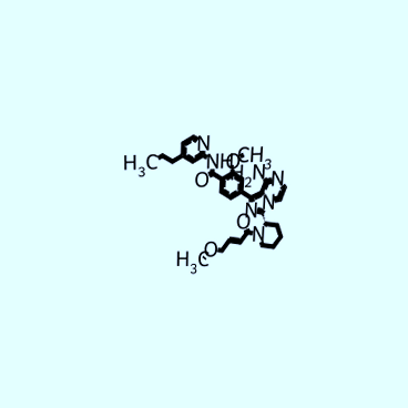 CCCc1ccnc(NC(=O)c2ccc(-c3nc([C@@H]4CCCCN4C(=O)C=CCOC)n4ccnc(N)c34)cc2OC)c1